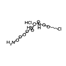 Cl.NCCOCCOCCOCCOCCC(=O)NCc1cccc(C(=O)NCCOCCOCCCCCCCl)c1